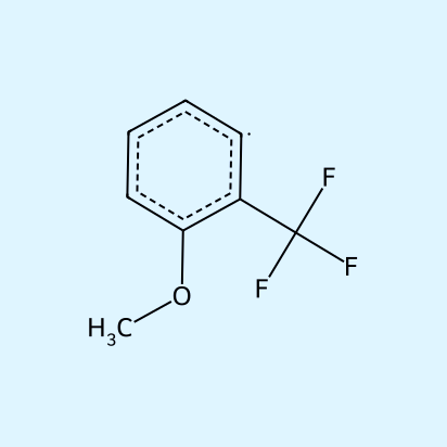 COc1ccc[c]c1C(F)(F)F